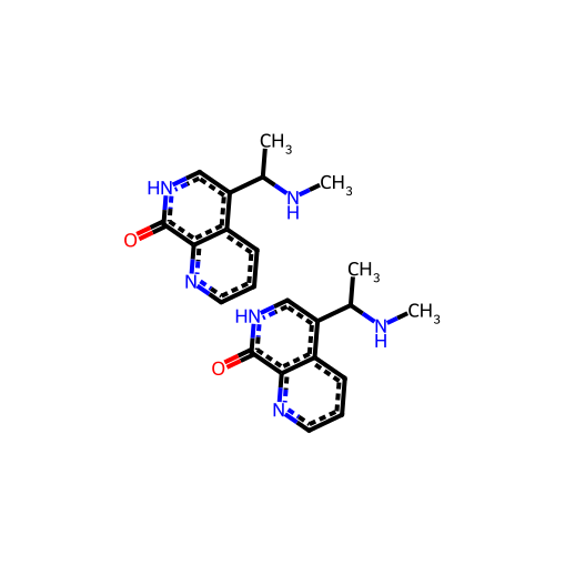 CNC(C)c1c[nH]c(=O)c2ncccc12.CNC(C)c1c[nH]c(=O)c2ncccc12